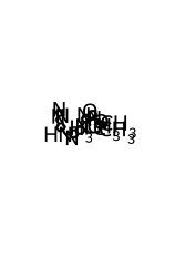 Cc1c(N2CCc3cnc(Nc4ccc(Cn5cncn5)cc4)cc3C2)cnc2c1N(C(=O)OC(C)(C)C)CCO2